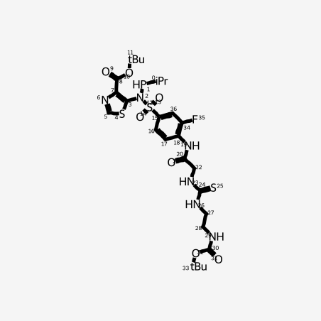 CC(C)PN(c1scnc1C(=O)OC(C)(C)C)S(=O)(=O)c1ccc(NC(=O)CNC(=S)NCCNC(=O)OC(C)(C)C)c(F)c1